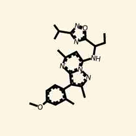 CCC(Nc1cc(C)nc2c(-c3ccc(OC)cc3C)c(C)nn12)c1nc(C(C)C)no1